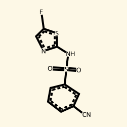 N#Cc1cccc(S(=O)(=O)Nc2ncc(F)s2)c1